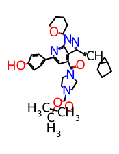 C#Cc1nn(C2CCCCO2)c2nc(-c3ccc(O)cc3)cc(C(=O)N3CCN(C(=O)OC(C)(C)C)CC3)c12.C1CC2CC2C1